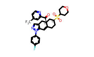 O=C(c1cc(C(F)(F)F)ccn1)[C@]12Cc3cnn(-c4ccc(F)cc4)c3C=C1CC[C@H](S(=O)(=O)C1CCOCC1)C2